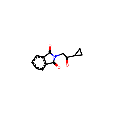 O=C(CN1C(=O)c2ccccc2C1=O)C1CC1